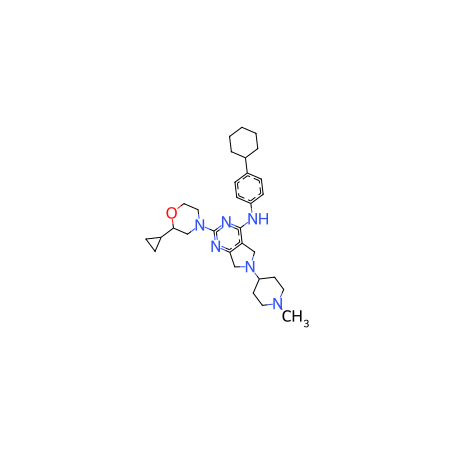 CN1CCC(N2Cc3nc(N4CCOC(C5CC5)C4)nc(Nc4ccc(C5CCCCC5)cc4)c3C2)CC1